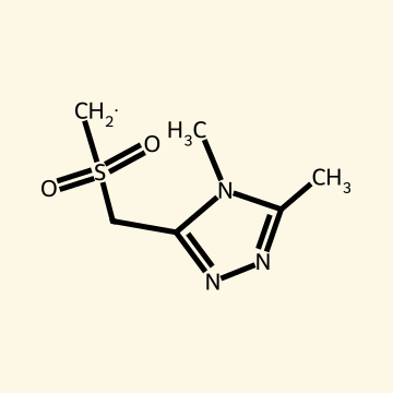 [CH2]S(=O)(=O)Cc1nnc(C)n1C